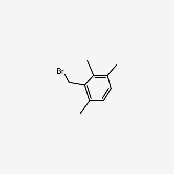 Cc1ccc(C)c(CBr)c1C